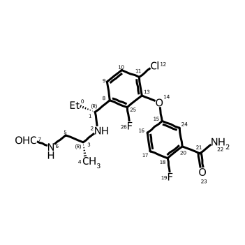 CC[C@@H](N[C@H](C)CNC=O)c1ccc(Cl)c(Oc2ccc(F)c(C(N)=O)c2)c1F